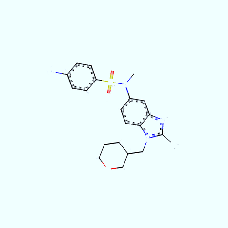 CN(c1ccc2c(c1)nc(C(C)(C)C)n2CC1CCCOC1)S(=O)(=O)c1ccc(N)cc1